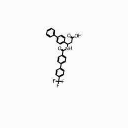 O=C(O)CC(NC(=O)c1ccc(-c2ccc(C(F)(F)F)cc2)cc1)c1ccc(-c2ccccc2)cc1